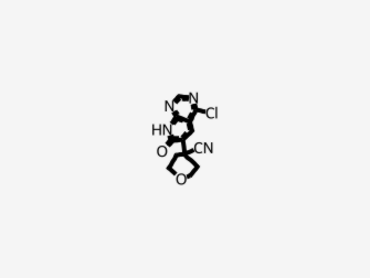 N#CC1(c2cc3c(Cl)ncnc3[nH]c2=O)CCOCC1